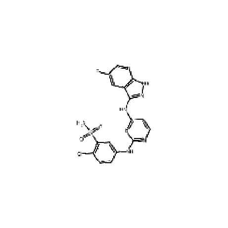 NS(=O)(=O)c1cc(Nc2nccc(Nc3n[nH]c4ncc(F)cc34)n2)ccc1Cl